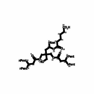 CCCCCCCCCC(CC(CO)(COC(=O)CC(CCCCC)CCCCC)COC(=O)CC(CCCCC)CCCCC)OC(=O)CCCCC(=O)O